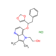 Cc1c(C)n(CCO)c2c(OC(Cc3ccccc3)C3=COCO3)ccnc12.Cl